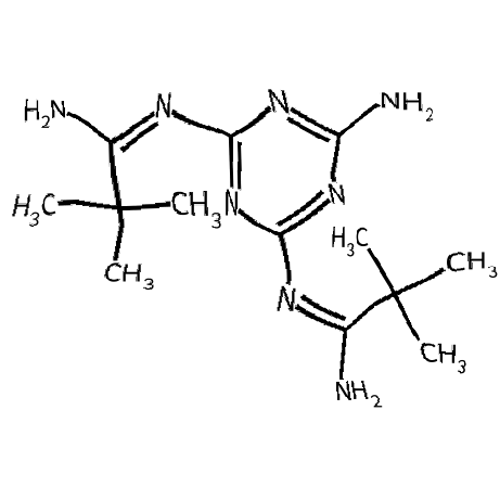 CC(C)(C)/C(N)=N\c1nc(N)nc(/N=C(/N)C(C)(C)C)n1